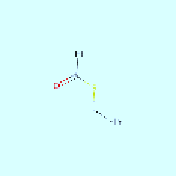 [CH2]CCCSC(=O)CC